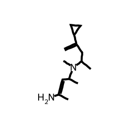 C=C(CC(C)N(C)C(C)/C=C(\C)N)C1CC1